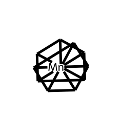 [CH]12[CH]3[CH]4[CH]5[CH]1[Mn]23451678[CH]2[CH]1[CH]6[CH]7[CH]28